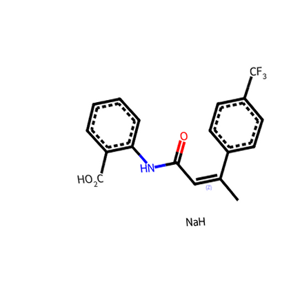 C/C(=C/C(=O)Nc1ccccc1C(=O)O)c1ccc(C(F)(F)F)cc1.[NaH]